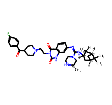 C[C@H]1[C@@H](NC(=Nc2ccc3c(=O)n(CCN4CCC(C(=O)c5ccc(F)cc5)CC4)c(=O)[nH]c3c2)N2CCN[C@@H](C)C2)C[C@@H]2C[C@@H]1C2(C)C